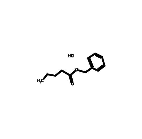 CCCCC(=O)OCc1ccccc1.Cl